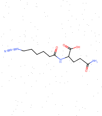 [N-]=[N+]=NCCCCCC(=O)NC(CCC(N)=O)C(=O)O